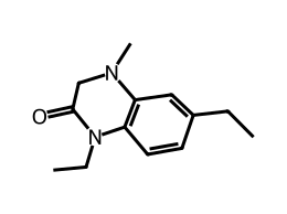 CCc1ccc2c(c1)N(C)CC(=O)N2CC